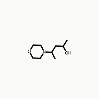 CC(O)CC(C)N1CCOCC1